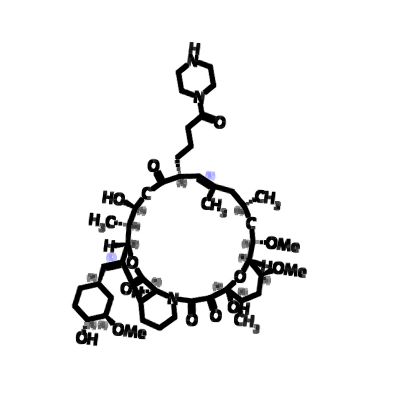 CO[C@H]1C[C@@H](C)C/C(C)=C/[C@@H](CCCC(=O)N2CCNCC2)C(=O)C[C@H](O)[C@@H](C)[C@@H]2OC(=O)[C@@H]3C(CCCN3C(=O)C(=O)[C@]3(O)O[C@H]1[C@@H](OC)C[C@H]3C)/C2=C\[C@@H]1CC[C@@H](O)[C@H](OC)C1